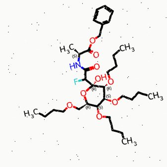 CCCCOC[C@H]1O[C@@](O)(C(F)C(=O)N[C@@H](C)C(=O)OCc2ccccc2)[C@H](OCCCC)[C@@H](OCCCC)[C@H]1OCCCC